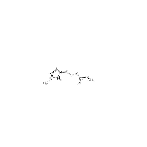 COC(=O)CCCn1cnc(C)n1